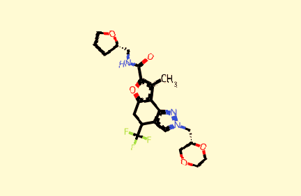 Cc1c(C(=O)NC[C@@H]2CCCO2)oc2c1-c1nn(C[C@H]3COCCO3)cc1C(C(F)(F)F)C2